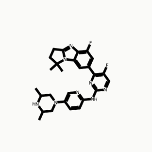 CC1CN(c2ccc(Nc3ncc(F)c(-c4cc(F)c5nc6n(c5c4)C(C)(C)CC6)n3)nc2)CC(C)N1